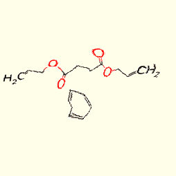 C=CCOC(=O)CCC(=O)OCC=C.c1ccccc1